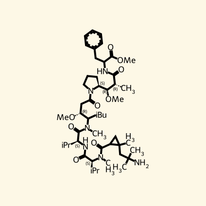 CCC(C)C([C@@H](CC(=O)N1CCC[C@H]1[C@H](OC)[C@@H](C)C(=O)NC(Cc1ccccc1)C(=O)OC)OC)N(C)C(=O)[C@@H](NC(=O)[C@H](C(C)C)N(C)C(=O)C1CC1(C)CC(C)(C)N)C(C)C